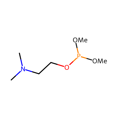 COP(OC)OCCN(C)C